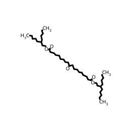 CCCCCC(CCCCC)CCOC(=O)CCCCCCCCC(=O)CCCCCCCCC(=O)OCCC(CCCCC)CCCCC